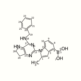 Cc1cc2c(B(O)O)cccc2n1-c1nc2c(c(NCc3ccccc3)n1)NCC2